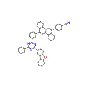 N#Cc1ccc(-c2cc3c4ccccc4c(-c4cccc(-c5nc(-c6ccccc6)nc(-c6ccc7oc8ccccc8c7c6)n5)c4)cc3c3ccccc23)cc1